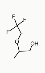 CC(CO)O[CH]C(F)(F)F